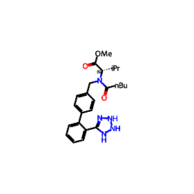 CCCCC(=O)N(Cc1ccc(-c2ccccc2C2=NNNN2)cc1)[C@H](C(=O)OC)C(C)C